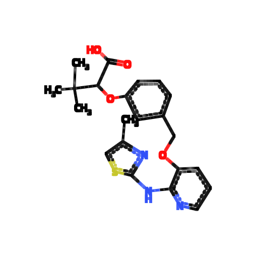 Cc1csc(Nc2ncccc2OCc2cccc(OC(C(=O)O)C(C)(C)C)c2)n1